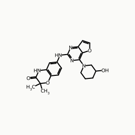 CC1(C)Oc2ccc(Nc3nc(N4CCCC(O)C4)c4occc4n3)cc2NC1=O